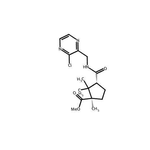 COC(=O)[C@]1(C)CC[C@@H](C(=O)NCc2nccnc2Cl)C1(C)C